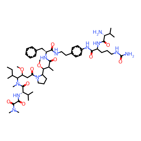 CCC(C)C(C(CC(=O)N1CCCC1C(OC)C(C)C(=O)N[C@@H](Cc1ccccc1)C(=O)NCCc1ccc(NC(=O)C(CCCNC(N)=O)NC(=O)[C@H](N)C(C)C)cc1)OC)N(C)C(=O)[C@@H](NC(=O)C(=O)N(C)C)C(C)C